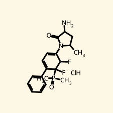 CC1CC(N)C(=O)N1C1=CC=C(c2ccccc2)C(F)(P(C)(C)=O)C1F.Cl